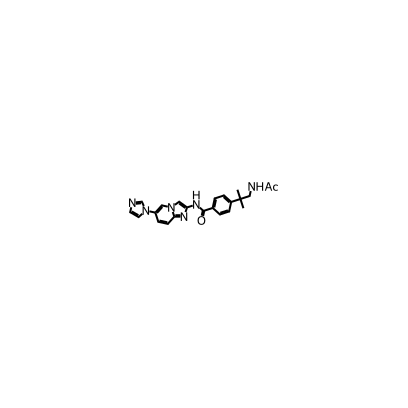 CC(=O)NCC(C)(C)c1ccc(C(=O)Nc2cn3cc(-n4ccnc4)ccc3n2)cc1